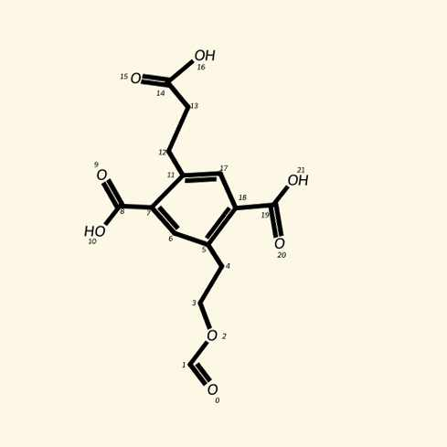 O=COCCc1cc(C(=O)O)c(CCC(=O)O)cc1C(=O)O